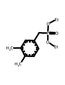 CCOP(=O)(Cc1ccc(C)c(C)c1)OCC